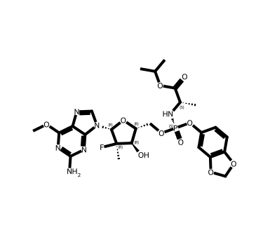 COc1nc(N)nc2c1ncn2[C@@H]1O[C@H](CO[P@@](=O)(N[C@@H](C)C(=O)OC(C)C)Oc2ccc3c(c2)OCO3)[C@@H](O)[C@@]1(C)F